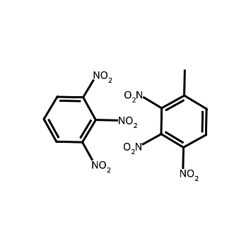 Cc1ccc([N+](=O)[O-])c([N+](=O)[O-])c1[N+](=O)[O-].O=[N+]([O-])c1cccc([N+](=O)[O-])c1[N+](=O)[O-]